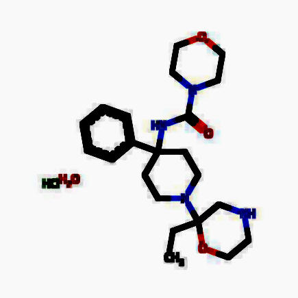 CCC1(N2CCC(NC(=O)N3CCOCC3)(c3ccccc3)CC2)CNCCO1.Cl.O